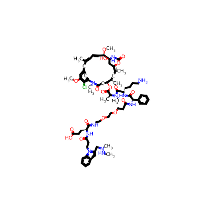 CNN(C)Cc1cc2ccccc2n1CCC(=O)N[C@@H](CCC(=O)O)C(=O)NCCOCCOCCC(=O)N[C@H](C(=O)N[C@@H](CCCCN)C(=O)N(C)[C@@H](C)C(=O)O[C@H]1CC(=O)N(C)c2cc(cc(OC)c2Cl)C/C(C)=C/C=C/[C@@H](OC)[C@@]2(O)C[C@H](OC(=O)N2)[C@@H](C)C[C@@H]1C)c1ccccc1